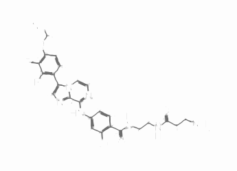 CCc1cc(Nc2nccn3c(-c4ccc(OCC#N)c(F)c4F)cnc23)ccc1C(=O)NCCNC(=O)CCN